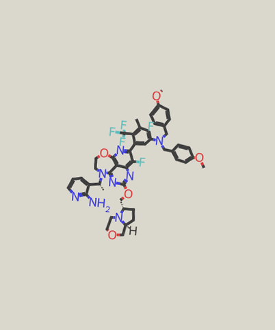 COc1ccc(CN(Cc2ccc(OC)cc2)c2cc(-c3nc4c5c(nc(OC[C@@H]6CC[C@H]7COCCN76)nc5c3F)N([C@H](C)c3cccnc3N)CCO4)c(C(F)(F)F)c(C)c2F)cc1